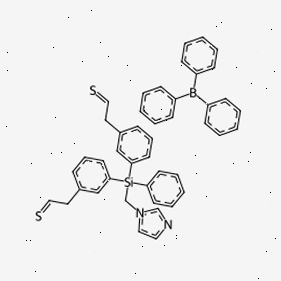 S=CCc1cccc([Si](Cn2ccnc2)(c2ccccc2)c2cccc(CC=S)c2)c1.c1ccc(B(c2ccccc2)c2ccccc2)cc1